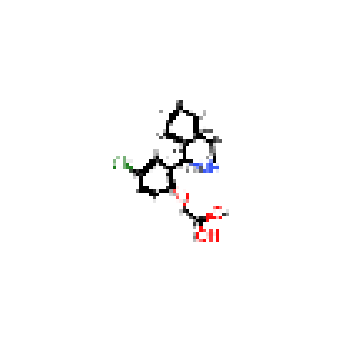 O=C(O)COc1ccc(Cl)cc1C1NCCc2ccccc21